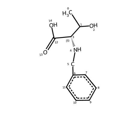 CC(O)[C@H](NCc1ccccc1)C(=O)O